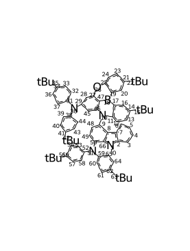 Cn1c2ccccc2c2c(N3c4ccc(C(C)(C)C)cc4B4c5cc(C(C)(C)C)ccc5Oc5cc(N(c6ccc(C(C)(C)C)cc6)c6ccc(C(C)(C)C)cc6)cc3c54)ccc(N(c3ccc(C(C)(C)C)cc3)c3ccc(C(C)(C)C)cc3)c21